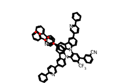 N#Cc1cccc(-c2cc(-n3c4ccc(-c5ccc(-c6ccccc6)nc5)cc4c4cc(-c5ccc(-c6ccccc6)nc5)ccc43)c(-n3c4ccc(-c5ccc(-c6ccccc6)nc5)cc4c4cc(-c5ccc(-c6ccccc6)nc5)ccc43)cc2C(F)(F)F)c1